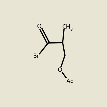 CC(=O)OCC(C)C(=O)Br